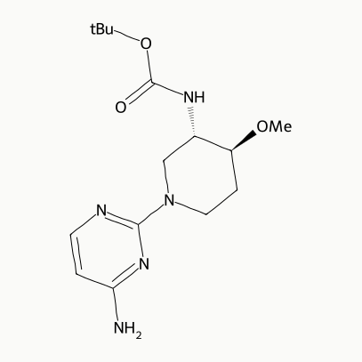 CO[C@H]1CCN(c2nccc(N)n2)C[C@@H]1NC(=O)OC(C)(C)C